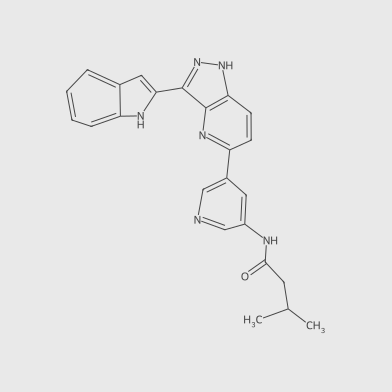 CC(C)CC(=O)Nc1cncc(-c2ccc3[nH]nc(-c4cc5ccccc5[nH]4)c3n2)c1